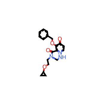 O=C1c2c(OCc3ccccc3)c(=O)ccn2NCN1CCOC1CC1